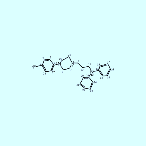 Fc1ccc(N2CCN(CCCN(c3ccccc3)c3ccccc3)CC2)cc1